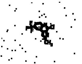 Cn1cc2c(n1)c(Cl)nc1ccc(C(F)(F)F)cc12